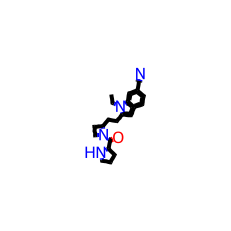 CCn1c(CCC2CCN2C(=O)C2CCCN2)cc2ccc(C#N)cc21